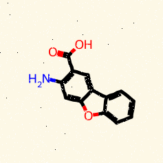 Nc1cc2oc3ccccc3c2cc1C(=O)O